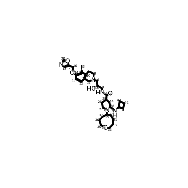 O=C(NC[C@H](O)CN1CCc2c(ccc(OCc3cnco3)c2I)C1)C1CCN(C2CCCCCCCC2)C(NC2CCC2)C1